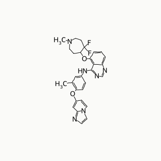 Cc1cc(Nc2ncnc3cccc(OC4CCN(C)CCC4(F)F)c23)ccc1Oc1ccn2ccnc2c1